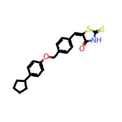 O=C1NC(=S)SC1=Cc1ccc(COc2ccc(C3CCCC3)cc2)cc1